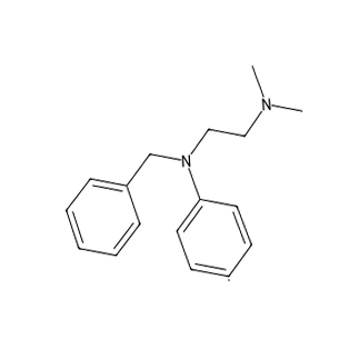 CN(C)CCN(Cc1ccccc1)c1cc[c]cc1